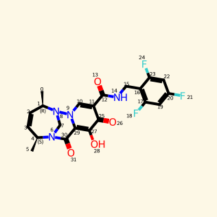 C[C@@H]1C=C[C@H](C)N2CN1n1cc(C(=O)NCc3c(F)cc(F)cc3F)c(=O)c(O)c1C2=O